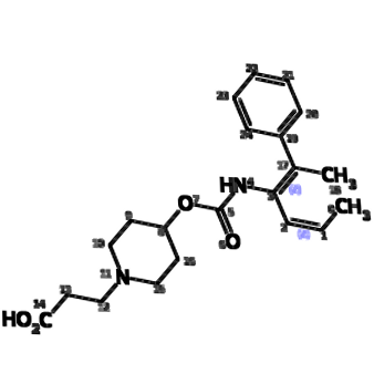 C/C=C\C(NC(=O)OC1CCN(CCC(=O)O)CC1)=C(/C)c1ccccc1